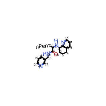 CCCCCC(NC1CCCc2cccnc21)C(=O)NCc1cccnc1